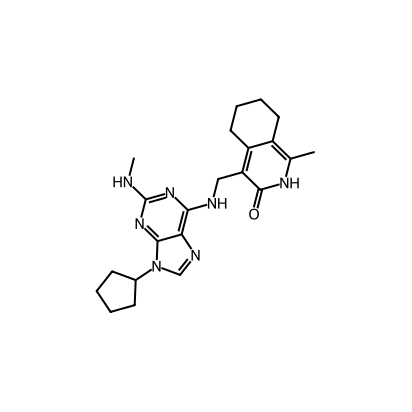 CNc1nc(NCc2c3c(c(C)[nH]c2=O)CCCC3)c2ncn(C3CCCC3)c2n1